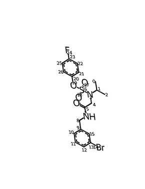 CC(C)N(CC(=O)NCc1cccc(Br)c1)S(=O)(=O)Oc1ccc(F)cc1